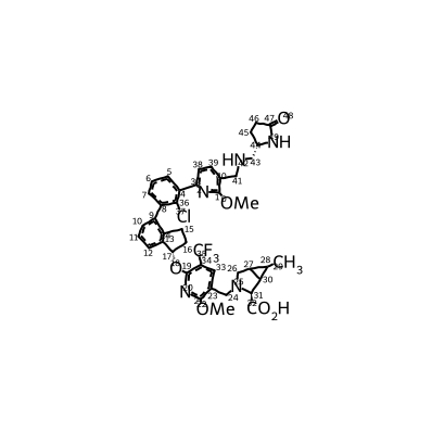 COc1nc(-c2cccc(-c3cccc4c3CC[C@@H]4Oc3nc(OC)c(CN4CC5C(C)C5[C@H]4C(=O)O)cc3C(F)(F)F)c2Cl)ccc1CNC[C@@H]1CCC(=O)N1